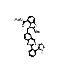 CCCCc1nc2cccc(C(=O)OC)c2n1Cc1ccc2nc(-c3ccccc3-c3nnn[nH]3)ncc2c1